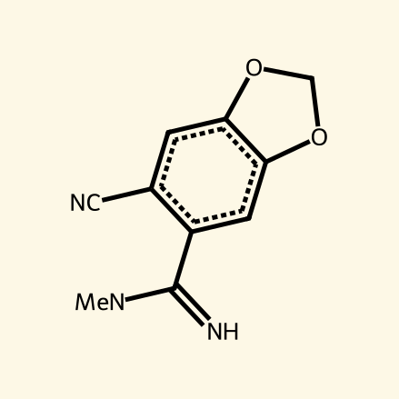 CNC(=N)c1cc2c(cc1C#N)OCO2